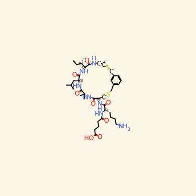 CC[C@H](C)[C@@H]1NC(=O)[C@H](CC(C)C)NC(=O)C(C)(C)NC(=O)[C@@H](NC(=O)[C@H](CCCCN)NC(=O)CCCC(=O)O)CSCc2cccc(c2)CSCCNC1=O